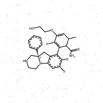 CC1C=C(OCCO)C(F)=C(c2c(Cl)c(F)cc3c2C[C@@]2(c4ccccc4)CNCCN32)C1C(N)=O